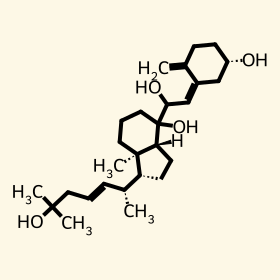 C=C1CC[C@H](O)C/C1=C/C(O)C1(O)CCC[C@]2(C)[C@@H]([C@H](C)/C=C/CC(C)(C)O)CC[C@@H]12